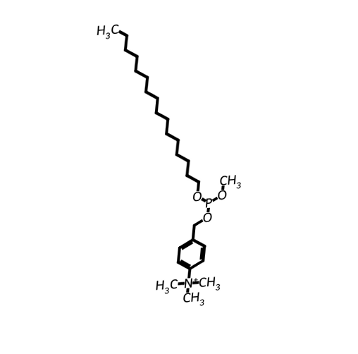 CCCCCCCCCCCCCCCCOP(OC)OCc1ccc([N+](C)(C)C)cc1